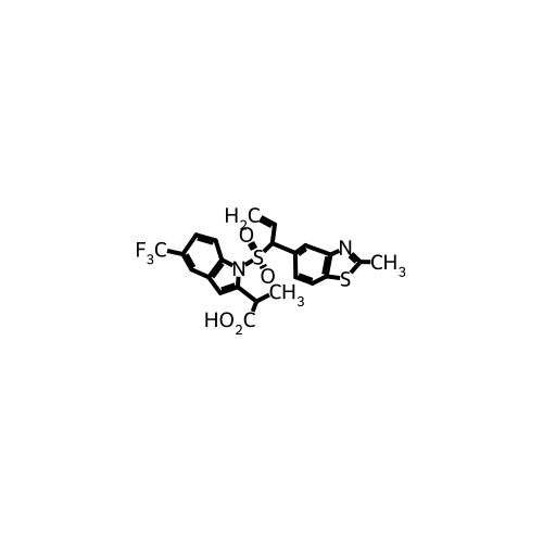 C=CC(c1ccc2sc(C)nc2c1)S(=O)(=O)n1c(C(C)C(=O)O)cc2cc(C(F)(F)F)ccc21